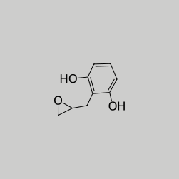 Oc1cccc(O)c1CC1CO1